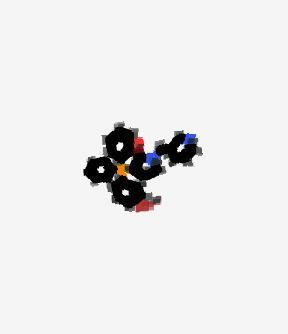 O=C1C([P+](c2ccccc2)(c2ccccc2)c2ccccc2)CCN1Cc1cccnc1.[Br-]